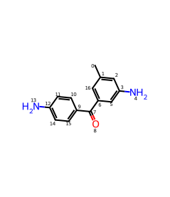 Cc1cc(N)cc(C(=O)c2ccc(N)cc2)c1